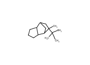 BC(C)(C)C1(C)CC2CC1C1CCCC21